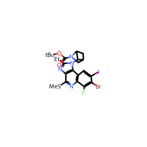 CCc1nc2c(SC)nc3c(F)c(Br)c(I)cc3c2n1C1C2CC1N(C(=O)OC(C)(C)C)C2